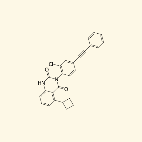 O=c1[nH]c2cccc(C3CCC3)c2c(=O)n1-c1ccc(C#Cc2ccccc2)cc1Cl